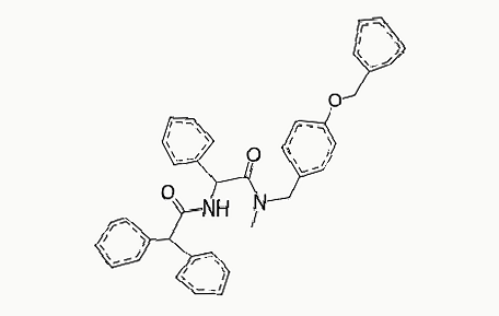 CN(Cc1ccc(OCc2ccccc2)cc1)C(=O)C(NC(=O)C(c1ccccc1)c1ccccc1)c1ccccc1